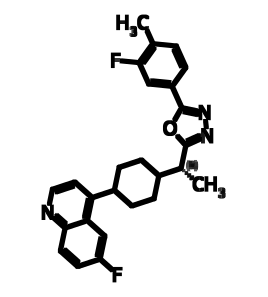 Cc1ccc(-c2nnc([C@H](C)C3CCC(c4ccnc5ccc(F)cc45)CC3)o2)cc1F